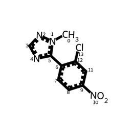 Cn1ncnc1-c1ccc([N+](=O)[O-])cc1Cl